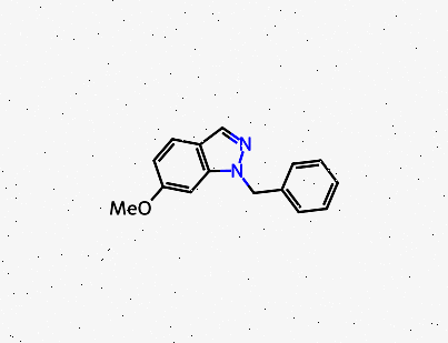 COc1ccc2cnn(Cc3ccccc3)c2c1